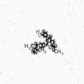 COC(=O)C(=O)N1CCC(C(=O)N(CCCN2CC3CN(C(=O)c4c(C)ncnc4C)CC3C2)c2ccc(C)c(Cl)c2)C1